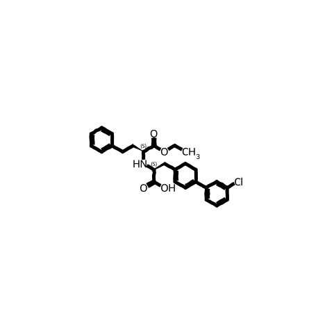 CCOC(=O)[C@H](CCc1ccccc1)N[C@@H](CC1=CC=C(c2cccc(Cl)c2)CC1)C(=O)O